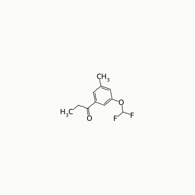 CCC(=O)c1cc(C)cc(OC(F)F)c1